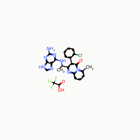 Cc1cccc2nc(C(C)Nc3nc(N)nc4[nH]cnc34)c(-c3ccccc3Cl)c(=O)n12.O=C(O)C(F)(F)F